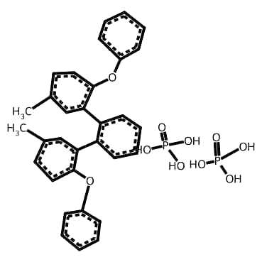 Cc1ccc(Oc2ccccc2)c(-c2ccccc2-c2cc(C)ccc2Oc2ccccc2)c1.O=P(O)(O)O.O=P(O)(O)O